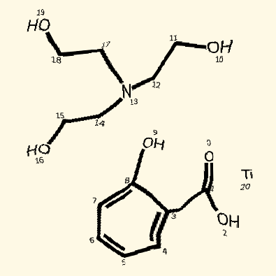 O=C(O)c1ccccc1O.OCCN(CCO)CCO.[Ti]